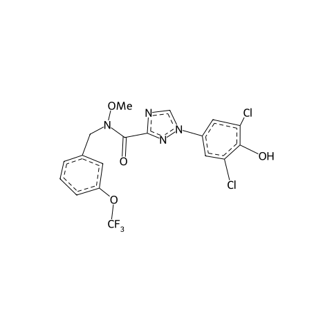 CON(Cc1cccc(OC(F)(F)F)c1)C(=O)c1ncn(-c2cc(Cl)c(O)c(Cl)c2)n1